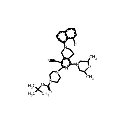 CC1CN(c2nc(N3CCN(C(=O)OC(C)(C)C)CC3)c(C#N)c3c2CCN(c2cccc4cccc(Cl)c24)C3)CC(C)O1